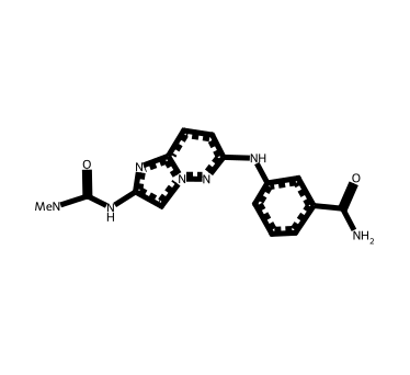 CNC(=O)Nc1cn2nc(Nc3cccc(C(N)=O)c3)ccc2n1